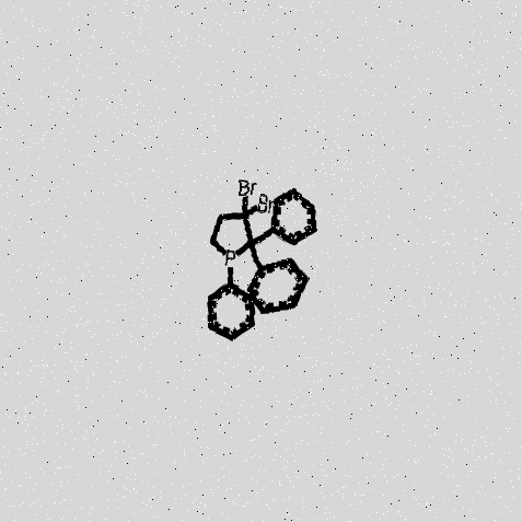 BrC1(Br)CCP(c2ccccc2)C1(c1ccccc1)c1ccccc1